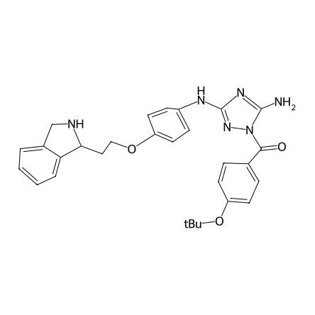 CC(C)(C)Oc1ccc(C(=O)n2nc(Nc3ccc(OCCC4NCc5ccccc54)cc3)nc2N)cc1